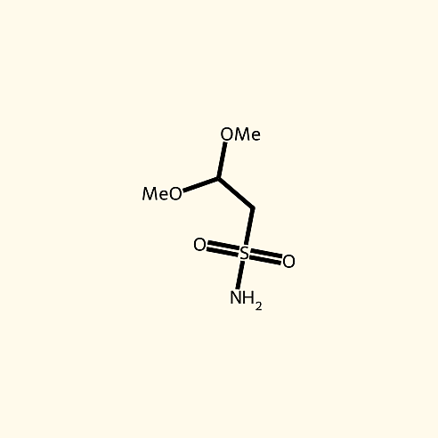 COC(CS(N)(=O)=O)OC